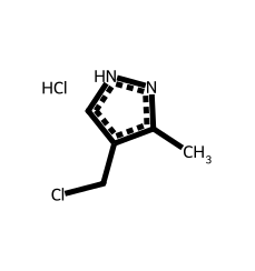 Cc1n[nH]cc1CCl.Cl